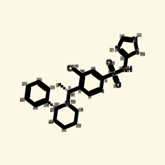 C[C@H](c1ccc(S(=O)(=O)Nc2ncns2)cc1Cl)N1CCCC[C@@H]1c1ccccc1